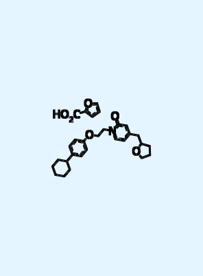 O=C(O)c1ccco1.O=c1cc(CC2CCCO2)ccn1CCOc1ccc(C2CCCCC2)cc1